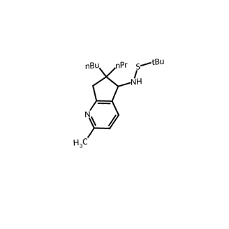 CCCCC1(CCC)Cc2nc(C)ccc2C1NSC(C)(C)C